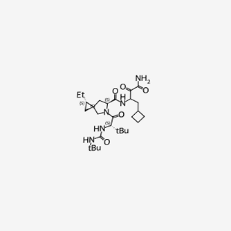 CC[C@H]1C[C@]12C[C@@H](C(=O)NC(CC1CCC1)C(=O)C(N)=O)N(C(=O)[C@@H](NC(=O)NC(C)(C)C)C(C)(C)C)C2